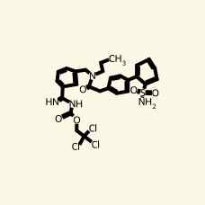 CCCN(Cc1cccc(C(=N)NC(=O)OCC(Cl)(Cl)Cl)c1)C(=O)Cc1ccc(-c2ccccc2S(N)(=O)=O)cc1